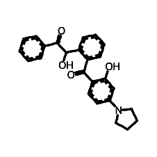 O=C(c1ccc(N2CCCC2)cc1O)c1ccccc1C(O)C(=O)c1ccccc1